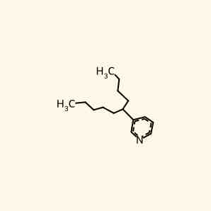 CCCCCC(CCCC)c1cccnc1